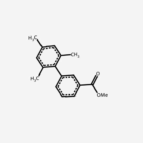 COC(=O)c1[c]ccc(-c2c(C)cc(C)cc2C)c1